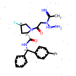 CC(=N)N(CC(=O)N1C[C@H](F)C[C@H]1C(=O)N[C@@H](c1ccccc1)c1ccc(C(C)C)cc1)NN